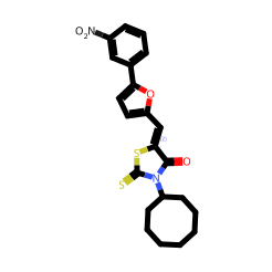 O=C1/C(=C/c2ccc(-c3cccc([N+](=O)[O-])c3)o2)SC(=S)N1C1CCCCCCC1